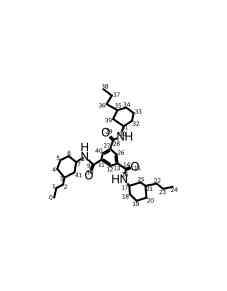 CCCC1CCCC(NC(=O)c2cc(C(=O)NC3CCCC(CCC)C3)cc(C(=O)NC3CCCC(CCC)C3)c2)C1